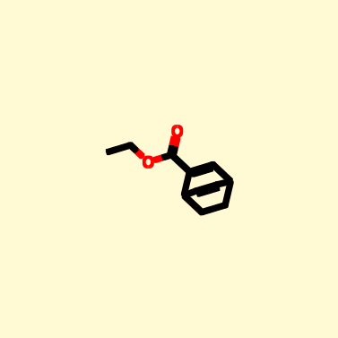 CCOC(=O)C1=CC2C=CC1CC2